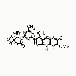 COc1cc2[nH]c(=O)c([C@H](C)Nc3nc(C)nc(N4C(=O)OC5(COC5)[C@@H]4C(C)C)n3)cc2cc1Cl